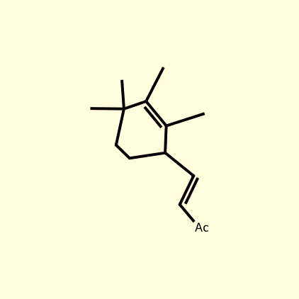 CC(=O)C=CC1CCC(C)(C)C(C)=C1C